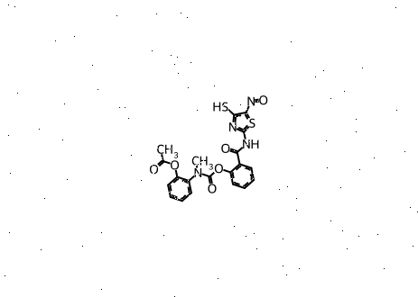 CC(=O)Oc1ccccc1N(C)C(=O)Oc1ccccc1C(=O)Nc1nc(S)c(N=O)s1